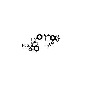 COc1cc(CNC[C@H]2CC[C@@H](Nc3nc4c(c(N(C)C)n3)CCCC4)CC2)cc2c1OCO2